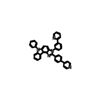 c1ccc(-n2c3ccccc3c3c4nc(-c5ccc(-c6ccncc6)cc5)n(-c5cccc(-c6ccccn6)c5)c4ccc32)cc1